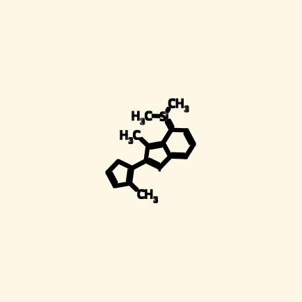 CC1=C(C2=[C]c3cccc(=[Si](C)C)c3=C2C)CC=C1